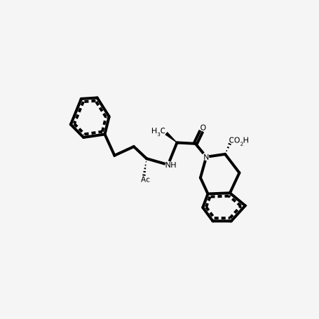 CC(=O)[C@H](CCc1ccccc1)N[C@@H](C)C(=O)N1Cc2ccccc2C[C@H]1C(=O)O